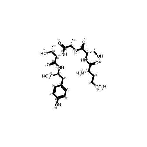 C[C@H](NC(=O)[C@H](CO)NC(=O)[C@@H](N)CCC(=O)O)C(=O)N[C@H](C(=O)N[C@@H](Cc1ccc(O)cc1)C(=O)O)[C@@H](C)O